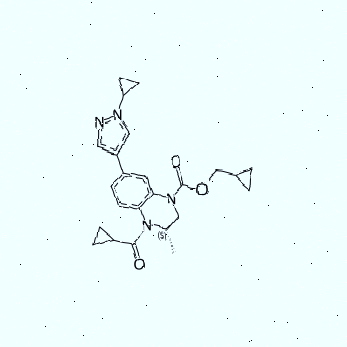 C[C@H]1CN(C(=O)OCC2CC2)c2cc(-c3cnn(C4CC4)c3)ccc2N1C(=O)C1CC1